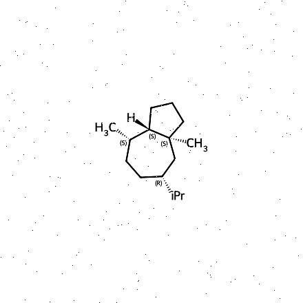 CC(C)[C@@H]1CC[C@H](C)[C@@H]2CCC[C@@]2(C)C1